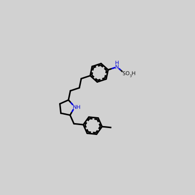 Cc1ccc(CC2CCC(CCCc3ccc(NS(=O)(=O)O)cc3)N2)cc1